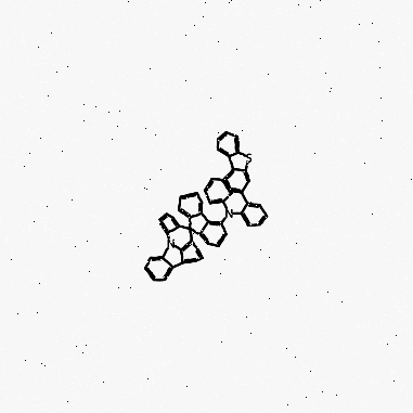 c1ccc(N(c2ccccc2-c2ccc3c(c2)sc2ccccc23)c2cccc3c2-c2ccccc2C32c3ccccc3-n3c4ccccc4c4cccc2c43)cc1